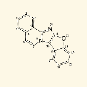 c1ccc2c(c1)ccn1c2nc2oc3ccccc3c21